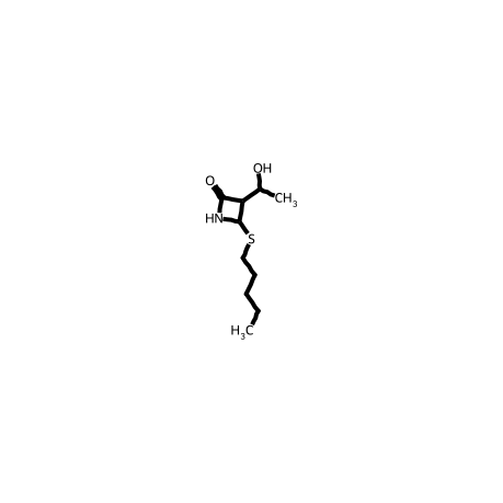 CCCCCSC1NC(=O)C1C(C)O